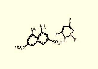 FC1=CC(F)=NN(F)N1.Nc1cc(S(=O)(=O)O)cc2cc(S(=O)(=O)O)cc(O)c12